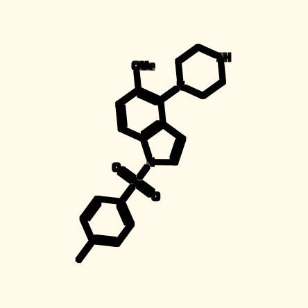 COc1ccc2c(ccn2S(=O)(=O)c2ccc(C)cc2)c1N1CCNCC1